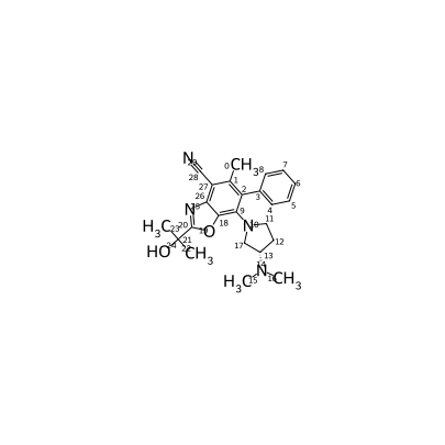 Cc1c(-c2ccccc2)c(N2CC[C@H](N(C)C)C2)c2oc(C(C)(C)O)nc2c1C#N